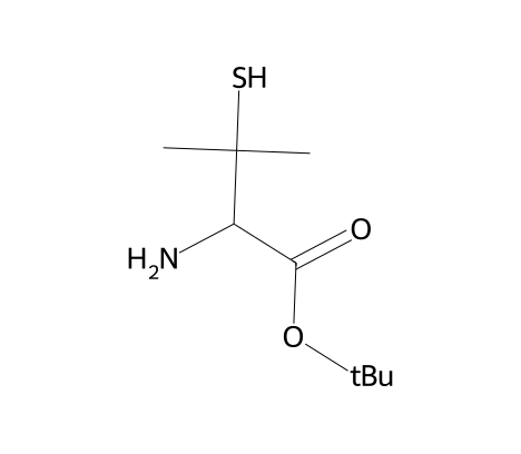 CC(C)(C)OC(=O)C(N)C(C)(C)S